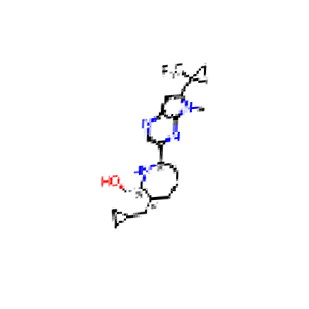 Cn1c(C2(C(F)(F)F)CC2)cc2ncc([C@H]3CCC[C@@H](CC4CC4)[C@H](CO)N3)nc21